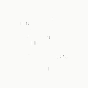 COc1c(F)cc(F)cc1Cn1cc(Cl)cc(C(N)=O)c1=N